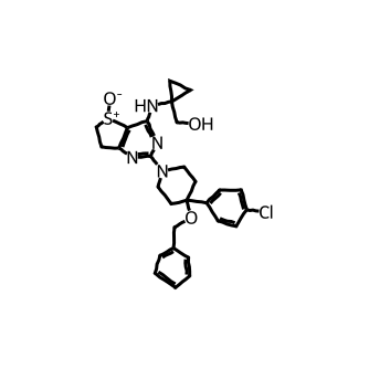 [O-][S+]1CCc2nc(N3CCC(OCc4ccccc4)(c4ccc(Cl)cc4)CC3)nc(NC3(CO)CC3)c21